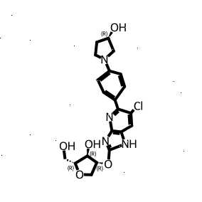 OC[C@H]1OC[C@@H](Oc2nc3nc(-c4ccc(N5CC[C@@H](O)C5)cc4)c(Cl)cc3[nH]2)[C@@H]1O